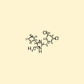 Cc1[nH]c(Cc2cc(Cl)cc(Cl)c2)nc1-c1ccsc1